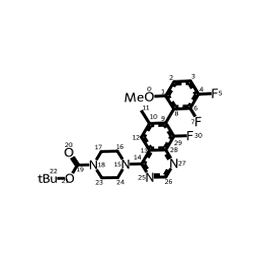 COc1ccc(F)c(F)c1-c1c(C)cc2c(N3CCN(C(=O)OC(C)(C)C)CC3)ncnc2c1F